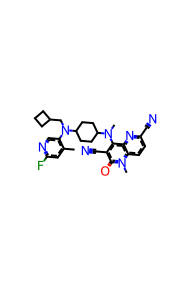 Cc1cc(F)ncc1N(CC1CCC1)C1CCC(N(C)c2c(C#N)c(=O)n(C)c3ccc(C#N)nc23)CC1